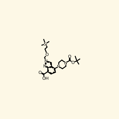 CC(C)(C)OC(=O)N1CCN(c2ccc(C(=O)O)c3nn(COCC[Si](C)(C)C)cc23)CC1